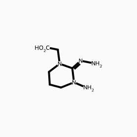 NN=C1N(N)CCCN1CC(=O)O